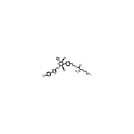 N#Cc1c(SCc2csc(-c3ccc(Cl)cc3)n2)nc(N2CCC2)c(C#N)c1-c1ccc(CCCOC(=O)[C@@H](N)CCCN)cc1